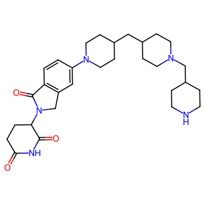 O=C1CCC(N2Cc3cc(N4CCC(CC5CCN(CC6CCNCC6)CC5)CC4)ccc3C2=O)C(=O)N1